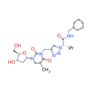 Cc1cn([C@H]2CC(O)[C@@H](CO)O2)c(=O)n(Cc2cn([C@H](C(=O)NCc3ccccc3)C(C)C)nn2)c1=O